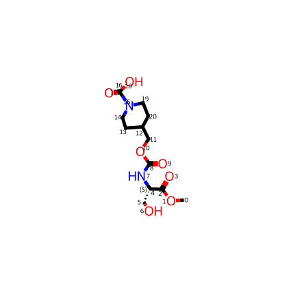 COC(=O)[C@H](CO)NC(=O)OCC1CCN(C(=O)O)CC1